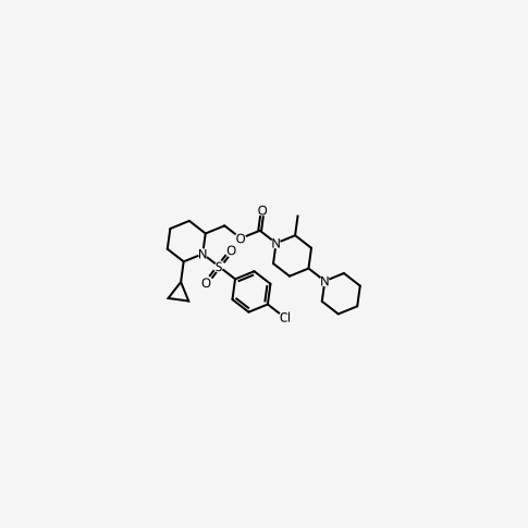 CC1CC(N2CCCCC2)CCN1C(=O)OCC1CCCC(C2CC2)N1S(=O)(=O)c1ccc(Cl)cc1